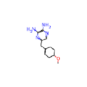 COC1CCC(Cc2cnc(N)c(N)n2)CC1